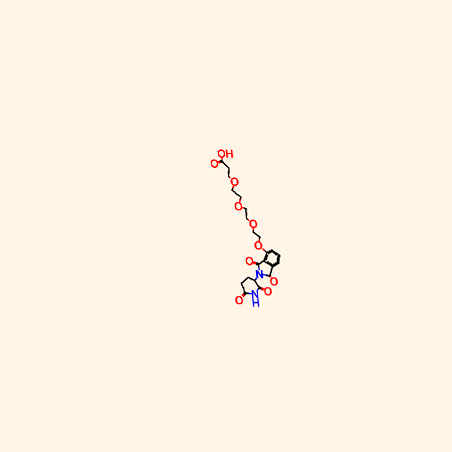 O=C(O)CCOCCOCCOCCOc1cccc2c1C(=O)N(C1CCC(=O)NC1=O)C2=O